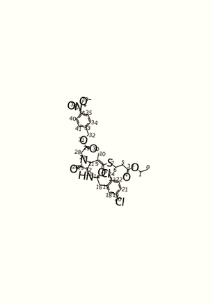 CCOC(=O)CCSC=C(C)C1C(NC(=O)Cc2cc(Cl)ccc2Cl)C(=O)N1CC(=O)OCc1ccc([N+](=O)[O-])cc1